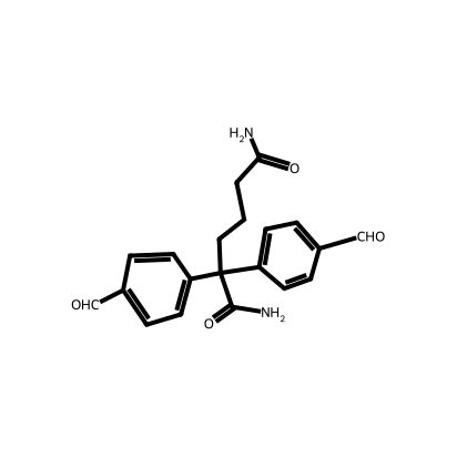 NC(=O)CCCC(C(N)=O)(c1ccc(C=O)cc1)c1ccc(C=O)cc1